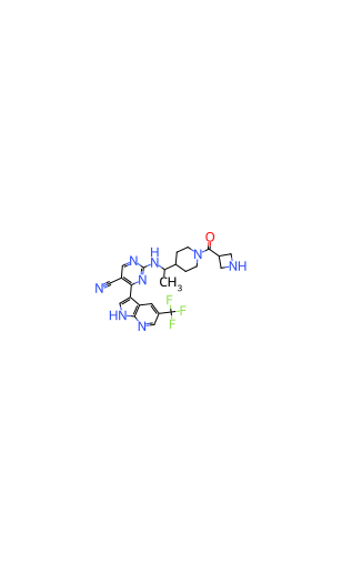 CC(Nc1ncc(C#N)c(-c2c[nH]c3ncc(C(F)(F)F)cc23)n1)C1CCN(C(=O)C2CNC2)CC1